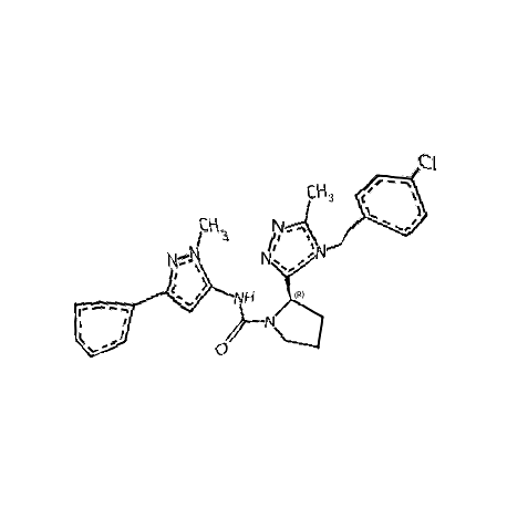 Cc1nnc([C@H]2CCCN2C(=O)Nc2cc(-c3ccccc3)nn2C)n1Cc1ccc(Cl)cc1